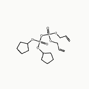 C=CCOP(=O)(OCC=C)OP(=O)(OC1CCCC1)OC1CCCC1